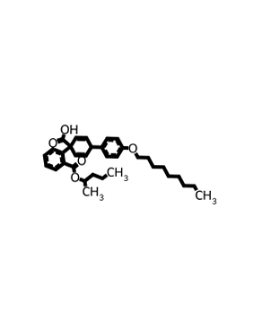 CCCCCCCCCOc1ccc(C2C=CC(C(=O)O)(c3ccccc3C(=O)OC(C)CCC)C=C2)cc1